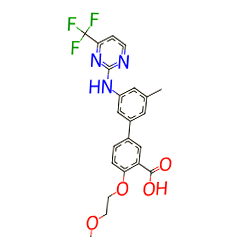 COCCOc1ccc(-c2cc(C)cc(Nc3nccc(C(F)(F)F)n3)c2)cc1C(=O)O